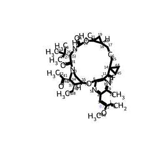 C=C/C(=C\c1nc2c(nc1C)C(F)(F)C1(CCC[C@@H]3C[C@@]3(C)OC(=O)N[C@@H](C(C)(C)C)C(=O)N3C[C@H](O2)[C@@H](CC)[C@H]3C(C)=O)CC1)OC